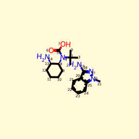 CC(C)(C)N(C(=O)O)[C@H]1CCCC[C@H]1N.Cn1nc(N)c2ccccc21